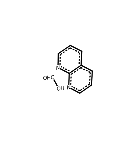 O=CO.c1cnc2ncccc2c1